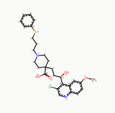 COc1ccc2ncc(Cl)c([C@H](O)CCC3(C(=O)O)CCN(CCCSc4ccccc4)CC3)c2c1